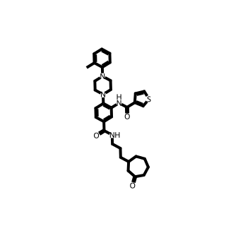 Cc1ccccc1N1CCN(c2ccc(C(=O)NCCCC3CCCCC(=O)C3)cc2NC(=O)c2ccsc2)CC1